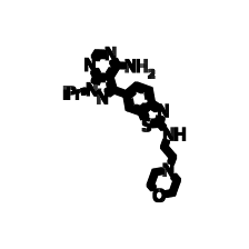 CC(C)n1nc(-c2ccc3nc(NCCN4CCOCC4)sc3c2)c2c(N)ncnc21